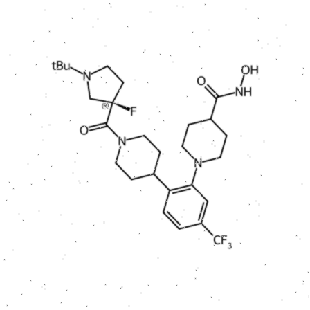 CC(C)(C)N1CC[C@](F)(C(=O)N2CCC(c3ccc(C(F)(F)F)cc3N3CCC(C(=O)NO)CC3)CC2)C1